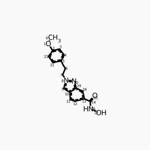 COc1ccc(CCn2cc3ccc(C(=O)NO)cc3n2)cc1